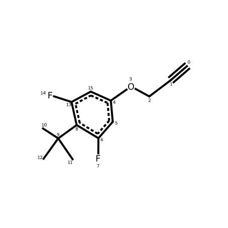 C#CCOc1cc(F)c(C(C)(C)C)c(F)c1